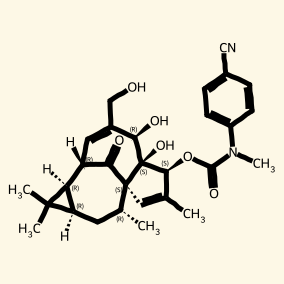 CC1=C[C@]23C(=O)[C@@H](C=C(CO)[C@@H](O)[C@]2(O)[C@H]1OC(=O)N(C)c1ccc(C#N)cc1)[C@H]1[C@@H](C[C@H]3C)C1(C)C